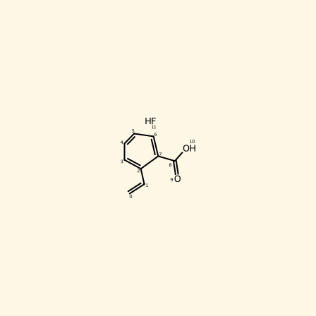 C=Cc1ccccc1C(=O)O.F